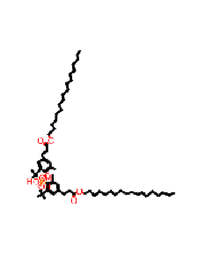 CCCCCCCCCCCCCCCCCCOC(=O)CCc1cc(C)c(OP(O)(O)(O)c2c(C)cc(CCC(=O)OCCCCCCCCCCCCCCCCCC)cc2C(C)(C)C)c(C(C)(C)C)c1